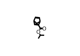 CC(C)OC(=O)C1=CC2C=CC1C2